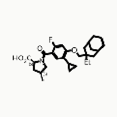 CCC1(COc2cc(F)c(C(=O)N3C[C@@H](C)C[C@H]3C(=O)O)cc2C2CC2)CC2CCCC(C2)C1